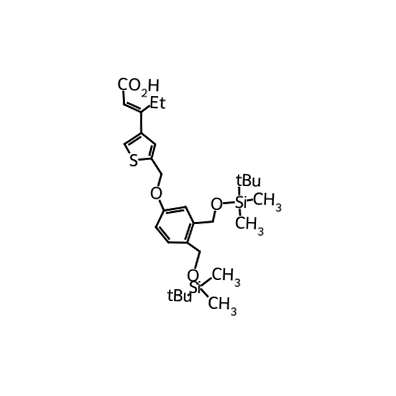 CC/C(=C\C(=O)O)c1csc(COc2ccc(CO[Si](C)(C)C(C)(C)C)c(CO[Si](C)(C)C(C)(C)C)c2)c1